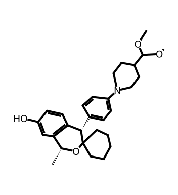 COC(OC)C1CCN(c2ccc([C@H]3c4ccc(O)cc4[C@@H](C)OC34CCCCC4)cc2)CC1